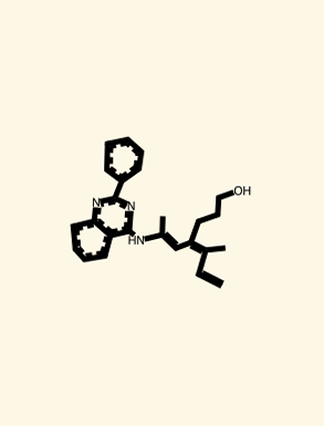 C=C/C(C)=C(\C=C(/C)Nc1nc(-c2ccccc2)nc2ccccc12)CCCO